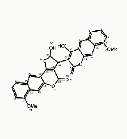 COc1cccc2cc3c(O)c(C4c5c(c6cc7cccc(OC)c7cc6oc5=O)OC4O)c(=O)oc3cc12